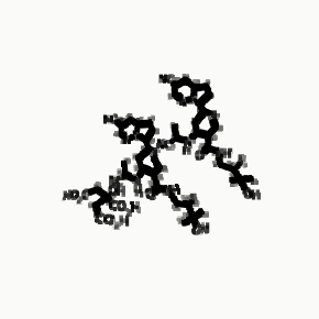 C[C@H](C#N)Nc1cc(-c2ccc3cc(C#N)cnn23)ncc1C(=O)NC[C@@H](F)C(C)(C)O.C[C@H](C#N)Nc1cc(-c2ccc3cc(C#N)cnn23)ncc1C(=O)NC[C@@H](F)C(C)(C)O.O=C(O)CC(O)(CC(=O)O)C(=O)O